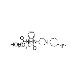 CC(C)C1CCC[C@@H](N2CCC(N(C(=O)C(=O)O)c3ccccc3NC(=O)C(=O)O)CC2)CC1